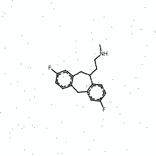 CNCCC1Cc2cc(F)ccc2Cc2cc(F)ccc21